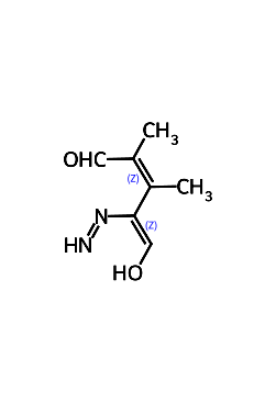 C/C(C=O)=C(C)/C(=C/O)N=N